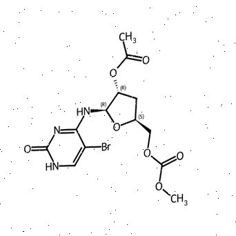 COC(=O)OC[C@@H]1C[C@@H](OC(C)=O)[C@H](Nc2nc(=O)[nH]cc2Br)O1